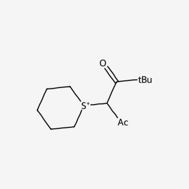 CC(=O)C(C(=O)C(C)(C)C)[S+]1CCCCC1